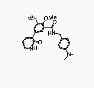 COc1c(C(=O)NCc2ccc(N(C)C)cc2)cc(-c2ccc[nH]c2=O)cc1C(C)(C)C